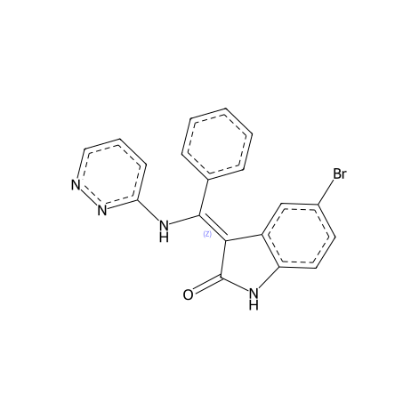 O=C1Nc2ccc(Br)cc2/C1=C(/Nc1cccnn1)c1ccccc1